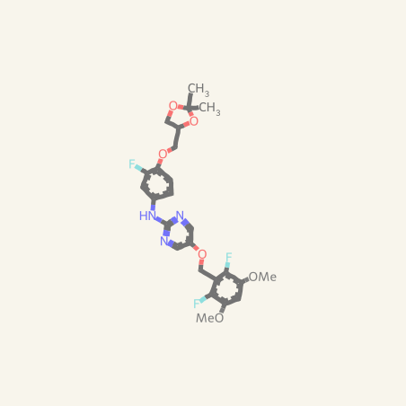 COc1cc(OC)c(F)c(COc2cnc(Nc3ccc(OCC4COC(C)(C)O4)c(F)c3)nc2)c1F